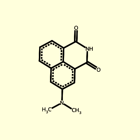 CN(C)c1cc2c3c(cccc3c1)C(=O)NC2=O